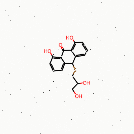 O=C1c2c(O)cccc2C(SCC(O)CO)c2cccc(O)c21